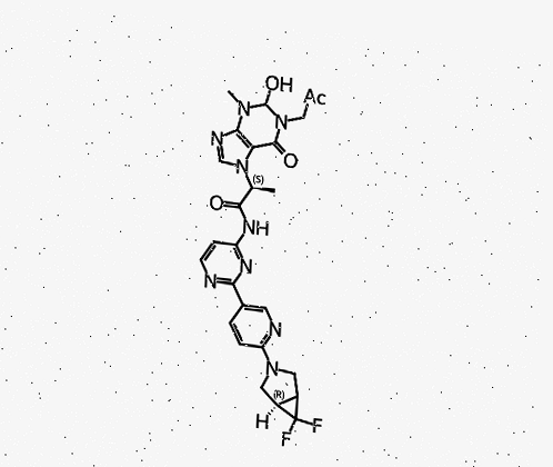 CC(=O)CN1C(=O)c2c(ncn2[C@@H](C)C(=O)Nc2ccnc(-c3ccc(N4CC5[C@H](C4)C5(F)F)nc3)n2)N(C)C1O